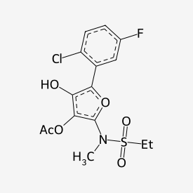 CCS(=O)(=O)N(C)c1oc(-c2cc(F)ccc2Cl)c(O)c1OC(C)=O